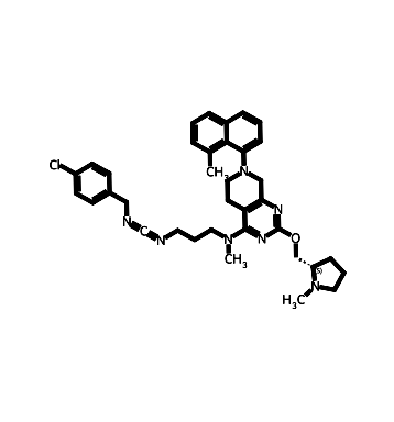 Cc1cccc2cccc(N3CCc4c(nc(OC[C@@H]5CCCN5C)nc4N(C)CCCN=C=NCc4ccc(Cl)cc4)C3)c12